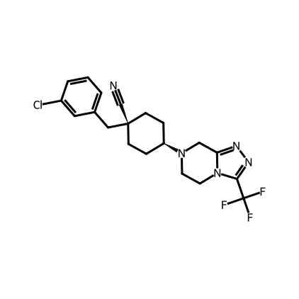 N#C[C@]1(Cc2cccc(Cl)c2)CC[C@H](N2CCn3c(nnc3C(F)(F)F)C2)CC1